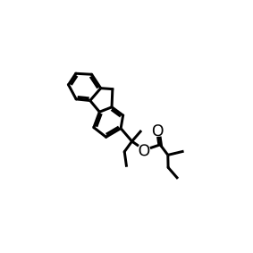 CCC(C)C(=O)OC(C)(CC)c1ccc2c(c1)Cc1ccccc1-2